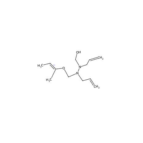 C=CCN(CO)N(CC=C)CO/C(C)=C/C